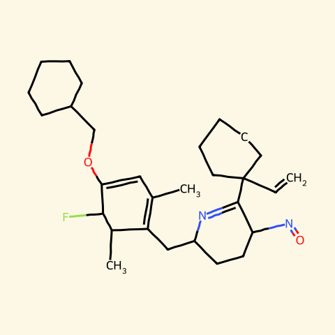 C=CC1(C2=NC(CC3=C(C)C=C(OCC4CCCCC4)C(F)C3C)CCC2N=O)CCCCC1